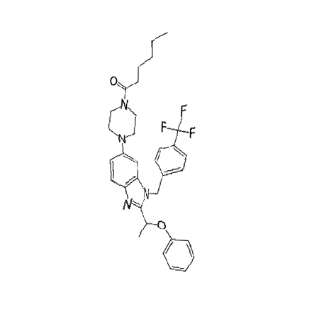 CCCCCC(=O)N1CCN(c2ccc3nc(C(C)Oc4ccccc4)n(Cc4ccc(C(F)(F)F)cc4)c3c2)CC1